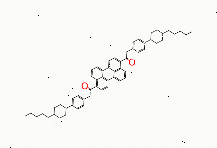 CCCCCC1CCC(c2ccc(CC(=O)c3ccc4c5cccc6c(C(=O)Cc7ccc(C8CCC(CCCCC)CC8)cc7)ccc(c7cccc3c74)c65)cc2)CC1